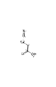 N#C[Se]CC(=O)O